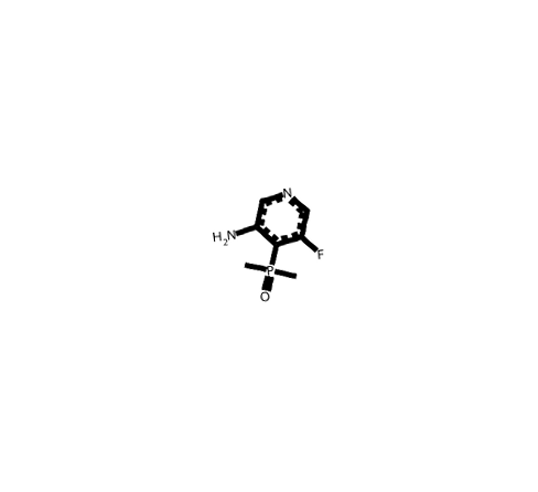 CP(C)(=O)c1c(N)cncc1F